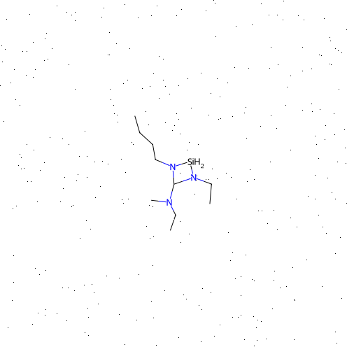 CCCCN1[SiH2]N(CC)C1N(C)CC